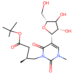 C[C@@H](CC(=O)OC(C)(C)C)Cn1c(=O)c([C@@H]2O[C@H](CO)C(O)[C@@H]2O)cn(C)c1=O